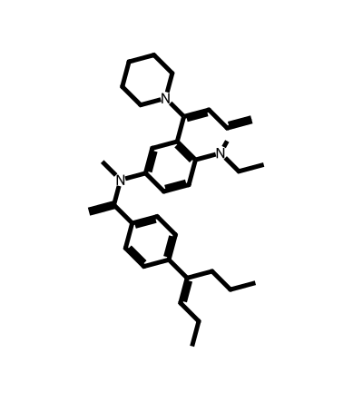 C=C/C=C(\c1cc(N(C)C(=C)c2ccc(/C(=C/CC)CCC)cc2)ccc1N(C)CC)N1CCCCC1